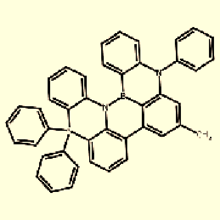 Cc1cc2c3c(c1)N(c1ccccc1)c1ccccc1B3N1c3ccccc3S(c3ccccc3)(c3ccccc3)c3cccc-2c31